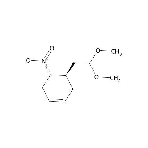 COC(C[C@H]1CC=CC[C@@H]1[N+](=O)[O-])OC